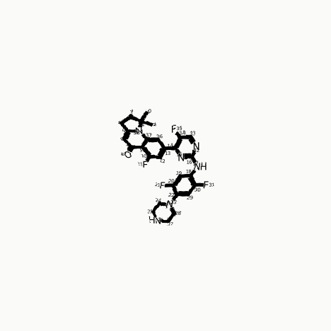 CC1(C)CCc2cc(=O)c3c(F)cc(-c4nc(Nc5cc(F)c(N6CCNCC6)cc5F)ncc4F)cc3n21